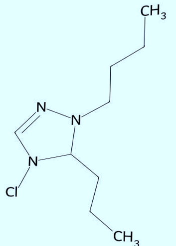 CCCCN1N=CN(Cl)C1CCC